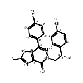 Cc1nc2c(=O)n(C[C@@H](C)c3ccc(Cl)cc3)nc(-c3ccc(Cl)cc3)c2s1